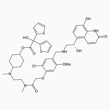 COc1cc(OCC(=O)N(C)CCN(C)C2CCC(OC(=O)C(O)(c3cccs3)c3cccs3)CC2)c(Cl)cc1CNC[C@@H](O)c1ccc(O)c2[nH]c(=O)ccc12